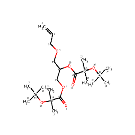 C=CCOCC(COC(=O)[Si](C)(C)O[Si](C)(C)C)OC(=O)[Si](C)(C)O[Si](C)(C)C